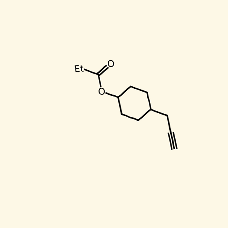 C#CCC1CCC(OC(=O)CC)CC1